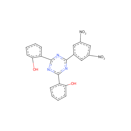 O=[N+]([O-])c1cc(-c2nc(-c3ccccc3O)nc(-c3ccccc3O)n2)cc([N+](=O)[O-])c1